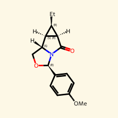 CC[C@H]1[C@H]2C(=O)N3[C@@H](c4ccc(OC)cc4)OC[C@@H]3[C@@H]12